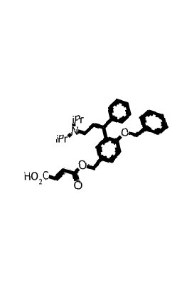 CC(C)N(CCC(c1ccccc1)c1cc(COC(=O)/C=C/C(=O)O)ccc1OCc1ccccc1)C(C)C